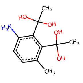 Cc1ccc(N)c(C(C)(O)O)c1C(C)(O)O